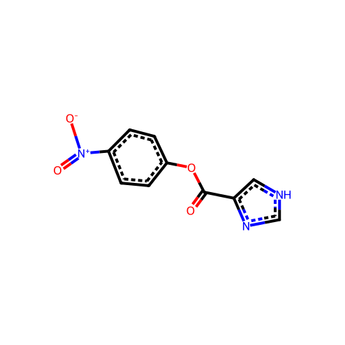 O=C(Oc1ccc([N+](=O)[O-])cc1)c1c[nH]cn1